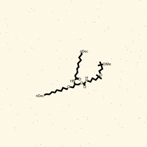 CCCCCCCCCCCCCCCCCCOCC(COC(=O)NCCCC(C)(C)OCCC(C)(C)OC)NC(=O)CCCCCCCCCCCCCCCCCC